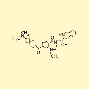 CCN1CCN(CC(O)C2Cc3ccccc3CN2)C(=O)c2ccc(C(=O)N3CCC4(CC3)CC(N(C)C)C4)cc21